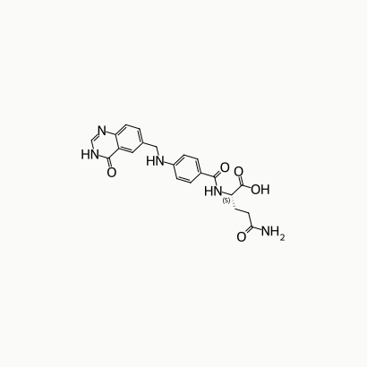 NC(=O)CC[C@H](NC(=O)c1ccc(NCc2ccc3nc[nH]c(=O)c3c2)cc1)C(=O)O